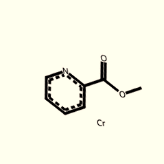 COC(=O)c1ccccn1.[Cr]